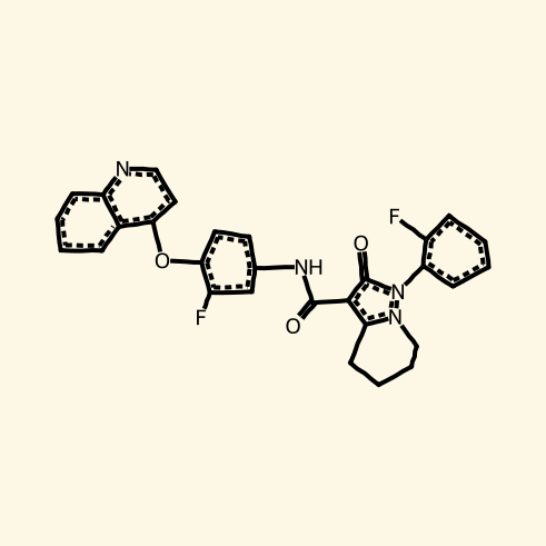 O=C(Nc1ccc(Oc2ccnc3ccccc23)c(F)c1)c1c2n(n(-c3ccccc3F)c1=O)CCCC2